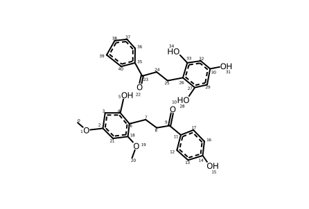 COc1cc(O)c(CCC(=O)c2ccc(O)cc2)c(OC)c1.O=C(CCc1c(O)cc(O)cc1O)c1ccccc1